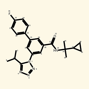 CC(C)c1nnnn1-c1cc(C(=O)NC(C)(C)C2CC2)cc(-c2ccc(F)cc2)c1